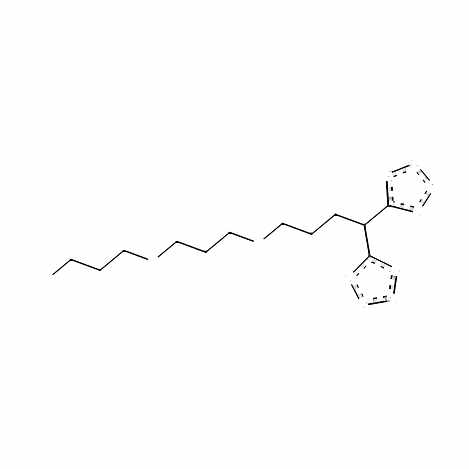 CCCCSCCCSCCCC(c1nnn[nH]1)c1nnn[nH]1